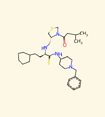 CC(C)CC(=O)N1CSC[C@H]1CN[C@H](CCC1CCCCC1)C(=S)NC1CCN(Cc2ccccc2)CC1